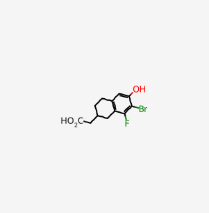 O=C(O)CC1CCc2cc(O)c(Br)c(F)c2C1